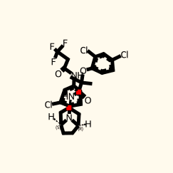 CC(C)(Oc1ccc(Cl)cc1Cl)C(=O)N[C@H]1C[C@H]2CC[C@@H](C1)N2c1ccc(NC(=O)CC(F)(F)F)cc1Cl